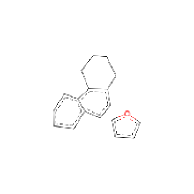 c1ccc2c3c(ccc2c1)CCCC3.c1ccoc1